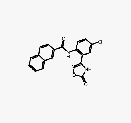 O=C(Nc1ccc(Cl)cc1-c1noc(=O)[nH]1)c1ccc2ccccc2c1